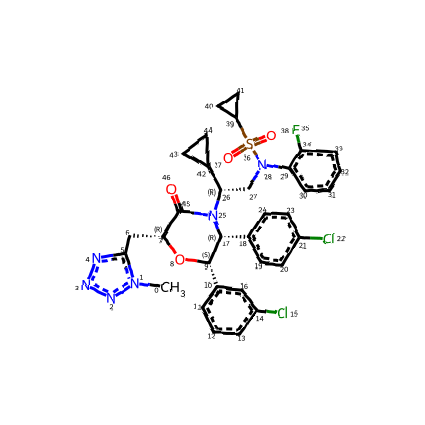 Cn1nnnc1C[C@H]1O[C@@H](c2cccc(Cl)c2)[C@@H](c2ccc(Cl)cc2)N([C@@H](CN(c2ccccc2F)S(=O)(=O)C2CC2)C2CC2)C1=O